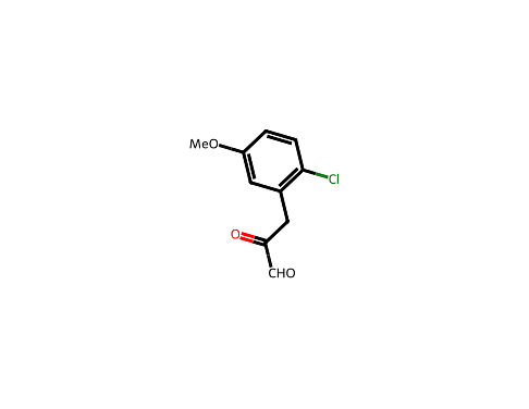 COc1ccc(Cl)c(CC(=O)C=O)c1